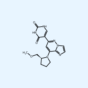 COC[C@@H]1CCCN1c1cc(-c2c[nH]c(=O)[nH]c2=O)nn2ccnc12